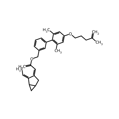 C=C(C)CCCOc1cc(C)c(-c2cccc(COC(=C)/C=C3/CC4CC4/C3=C/C)c2)c(C)c1